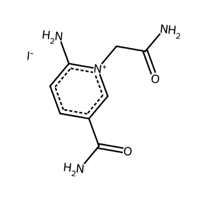 NC(=O)C[n+]1cc(C(N)=O)ccc1N.[I-]